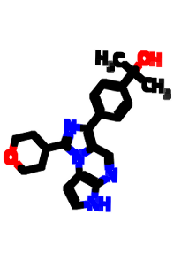 CC(C)(O)c1ccc(-c2nc(C3CCOCC3)n3c2cnc2[nH]ccc23)cc1